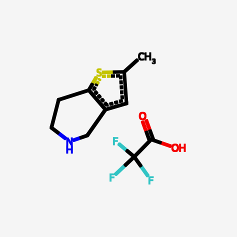 Cc1cc2c(s1)CCNC2.O=C(O)C(F)(F)F